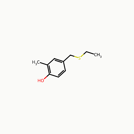 CCSCc1ccc(O)c(C)c1